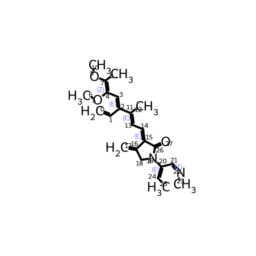 C=CC(=C\C(OC)=C(/C)OC)/C(C)=C/C=C1\C(=C)CN(C(/C=N\C)=C/C)C1=O